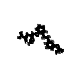 CN(C)CCC(COc1ccccc1CCc1cccc(OC(F)F)c1)OC(F)(F)F